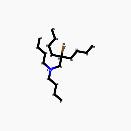 CCCCN(CCCC)CC(Br)(CCCC)CCCC